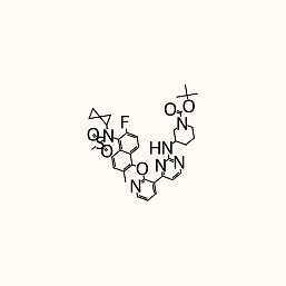 Cc1ccc2c(N([C@@H]3CC34CC4)S(C)(=O)=O)c(F)ccc2c1Oc1ncccc1-c1ccnc(NC2CCCN(C(=O)OC(C)(C)C)C2)n1